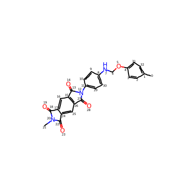 Cc1ccc(OCNc2ccc(-n3c(=O)c4cc5c(=O)n(C)c(=O)c5cc4c3=O)cc2)cc1